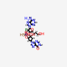 Cn1cnc2c(ncn2[C@@H]2C[C@H](OP(=O)(S)O[C@H]3[C@@H](F)[C@H](n4cnc5c(N)ncnc54)O[C@@H]3CCCO)[C@@H](O)C2)c1=O